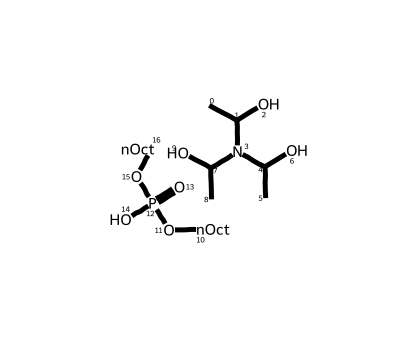 CC(O)N(C(C)O)C(C)O.CCCCCCCCOP(=O)(O)OCCCCCCCC